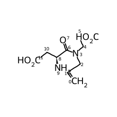 C=CCN(CC(=O)O)C(=O)[C@@H](N)CC(=O)O